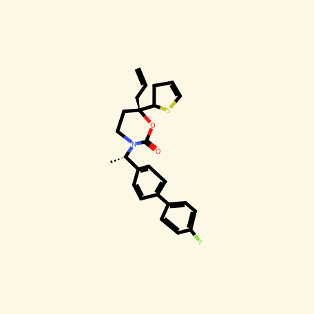 C=CC[C@]1(C2CC=CS2)CCN([C@@H](C)c2ccc(-c3ccc(F)cc3)cc2)C(=O)O1